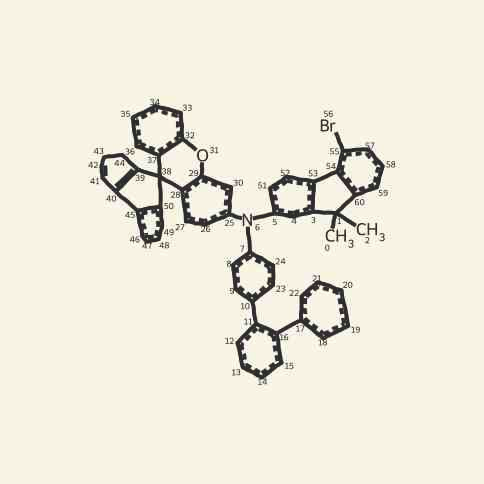 CC1(C)c2cc(N(c3ccc(-c4ccccc4-c4ccccc4)cc3)c3ccc4c(c3)Oc3ccccc3C43C4=C(C=CCC4)c4ccccc43)ccc2-c2c(Br)cccc21